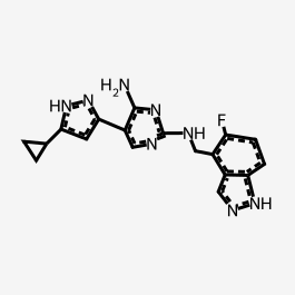 Nc1nc(NCc2c(F)ccc3[nH]ncc23)ncc1-c1cc(C2CC2)[nH]n1